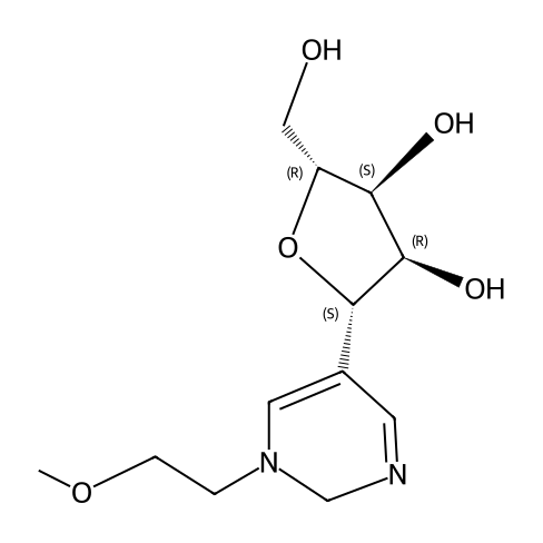 COCCN1C=C([C@@H]2O[C@H](CO)[C@@H](O)[C@H]2O)C=NC1